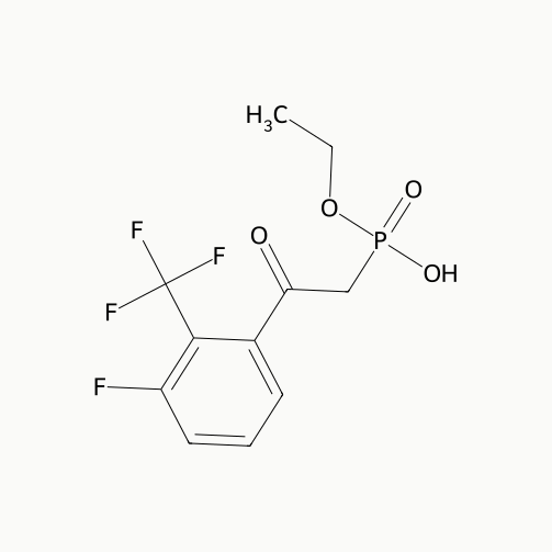 CCOP(=O)(O)CC(=O)c1cccc(F)c1C(F)(F)F